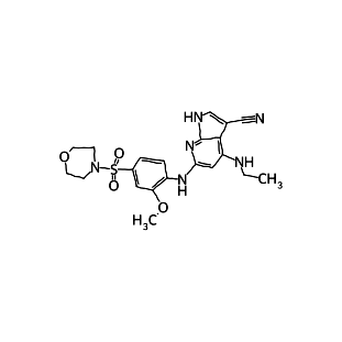 CCNc1cc(Nc2ccc(S(=O)(=O)N3CCOCC3)cc2OC)nc2[nH]cc(C#N)c12